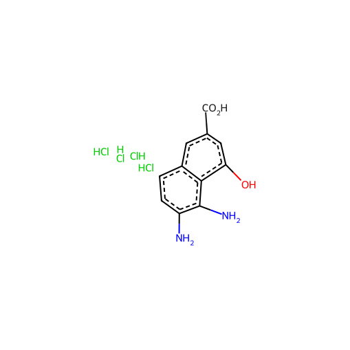 Cl.Cl.Cl.Cl.Nc1ccc2cc(C(=O)O)cc(O)c2c1N